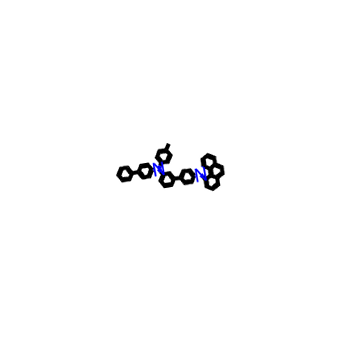 Cc1ccc(N(c2ccc(-c3ccccc3)cc2)c2cccc(-c3ccc(-n4c5cccc6ccc7cccc4c7c65)cc3)c2)cc1